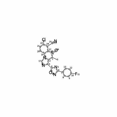 Cc1c2c(-c3nc(-c4ccc(F)cc4)no3)ncn2c2ccc(Cl)c(C#N)c2[n+]1[O-]